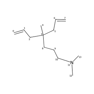 C=CCC(C)(CC=C)CCCN(C)C